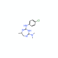 CC1CN=C(N(C)C)NC(Nc2ccc(Cl)cc2)=N1